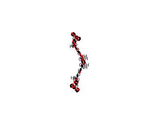 O=C(NCCOCCOCCNS(=O)(=O)c1ccc(O[C@H]2c3ccccc3C[C@@H]2N2CCCCC2)cc1)Nc1ccc(NC(=O)NCCOCCOCCNS(=O)(=O)c2ccc(O[C@H]3c4ccccc4C[C@@H]3N3CCCCC3)cc2)cc1